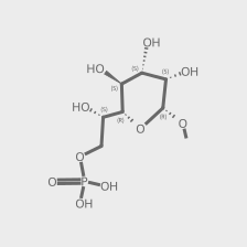 CO[C@@H]1O[C@H]([C@@H](O)COP(=O)(O)O)[C@@H](O)[C@H](O)[C@@H]1O